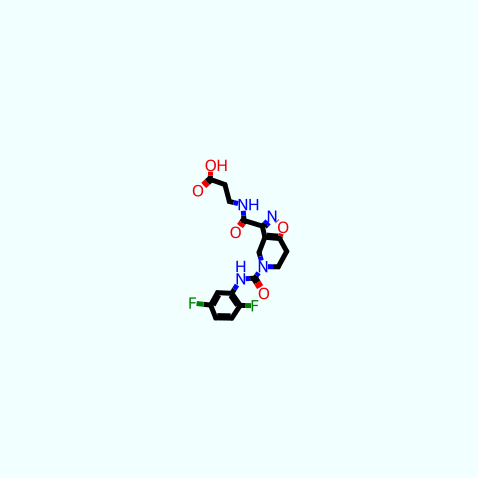 O=C(O)CCNC(=O)c1noc2c1CN(C(=O)Nc1cc(F)ccc1F)CC2